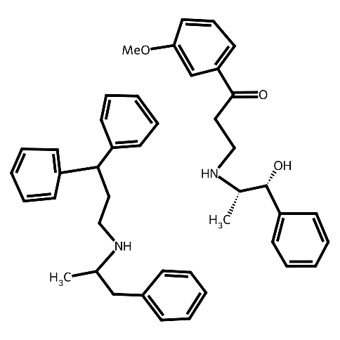 CC(Cc1ccccc1)NCCC(c1ccccc1)c1ccccc1.COc1cccc(C(=O)CCN[C@@H](C)[C@H](O)c2ccccc2)c1